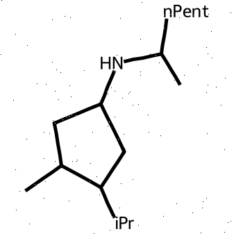 CCCCCC(C)NC1CC(C)C(C(C)C)C1